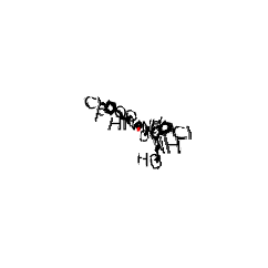 O=C(COc1ccc(Cl)c(F)c1)NC12CC(NC(=O)[C@H]3C[C@@H](NCCO)c4cc(Cl)ccc4O3)(C1)C2